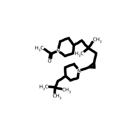 CC(=O)N1CCC(CC(C)(C)CC2CC2N2CCC(CC(C)(C)C)CC2)CC1